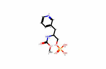 CC(C)(C)OC(=O)NC(COP(=O)(O)O)Cc1cccnc1